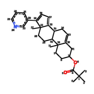 CC(C)(C)C(=O)OC1CCC2(C)C(=CCC3C4=CC=C(c5cccnc5)C4(C)CCC32)C1